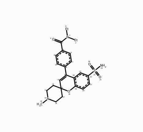 CCN(CC)C(=O)c1ccc(C2=CC3(CCN(C)CC3)Oc3ccc(S(N)(=O)=O)cc32)cc1